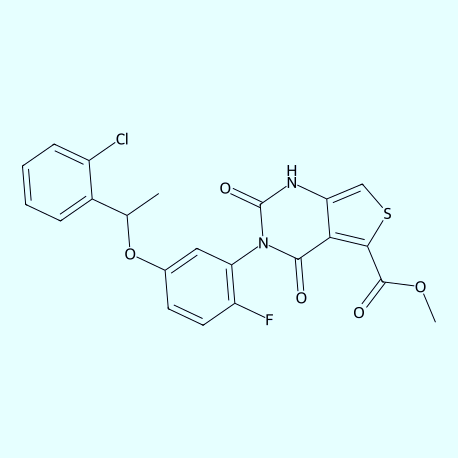 COC(=O)c1scc2[nH]c(=O)n(-c3cc(OC(C)c4ccccc4Cl)ccc3F)c(=O)c12